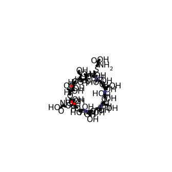 N[C@H](CSCC[C@H]1O[C@@H]2OC(CO)[C@@H](O[C@@H]3OC(CO)[C@@H](O[C@H]4OC(CSC[C@@H](N)C(=O)O)[C@@H](O[C@@H](O)/C(O)=C(\O)[C@@H](CCO)O[C@@H](O)/C(O)=C(/O)[C@@H](CCO)O[C@@H](O)/C(O)=C(\O)[C@@H](CCO)O[C@H](O)/C(O)=C/1O)[C@H](O)C4O)C(O)C3O)[C@H](O)C2O)C(=O)O